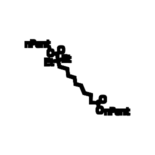 CCCCCOC(=O)CCCCCCCCCC(CC)(CC)C(=O)OCCCCC